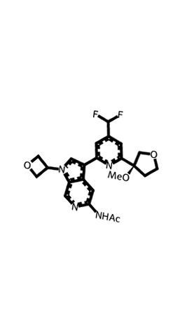 CO[C@]1(c2cc(C(F)F)cc(-c3cn(C4COC4)c4cnc(NC(C)=O)cc34)n2)CCOC1